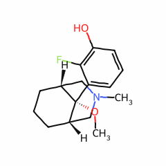 CO[C@@]1(c2cccc(O)c2F)[C@@H]2CCC[C@H]1CN(C)C2